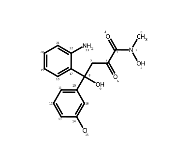 CN(O)C(=O)C(=O)CC(O)(c1cccc(Cl)c1)c1ccccc1N